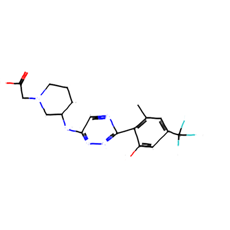 Cc1cc(C(F)(F)F)cc(O)c1-c1ncc(NC2CCCN(CC(=O)O)C2)nn1